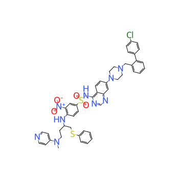 CN(CCC(CSc1ccccc1)Nc1ccc(S(=O)(=O)Nc2ncnc3cc(N4CCN(Cc5ccccc5-c5ccc(Cl)cc5)CC4)ccc23)cc1[N+](=O)[O-])c1ccncc1